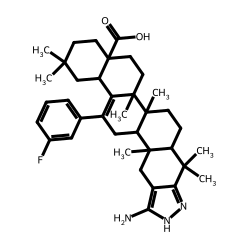 CC1(C)CCC2(C(=O)O)CCC3(C)C(=C(c4cccc(F)c4)CC4C5(C)Cc6c(n[nH]c6N)C(C)(C)C5CCC43C)C2C1